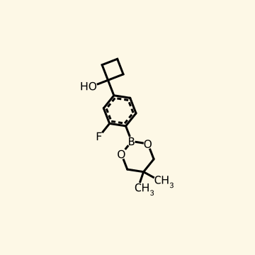 CC1(C)COB(c2ccc(C3(O)CCC3)cc2F)OC1